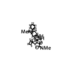 CNC(=O)C(=O)C(CC1(O)CCC1)[C@@H]1CC2(CCC(NC)(c3ccccc3)CC2)NN1